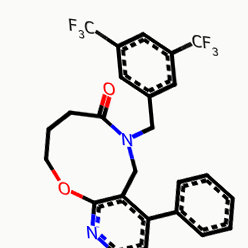 O=C1CCCOc2nccc(-c3ccccc3)c2CN1Cc1cc(C(F)(F)F)cc(C(F)(F)F)c1